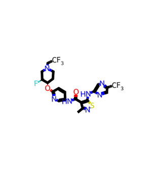 Cc1nsc(Nc2cnc(C(F)(F)F)cn2)c1C(=O)Nc1ccc(O[C@H]2CCN(CC(F)(F)F)C[C@@H]2F)nc1